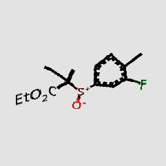 CCOC(=O)C(C)(C)[S+]([O-])c1ccc(C)c(F)c1